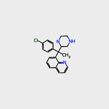 CC(c1ccc(Cl)cc1)(c1cccc2cccnc12)C1CNCC[N]1